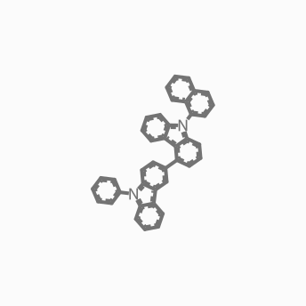 c1ccc(-n2c3ccccc3c3cc(-c4cccc5c4c4ccccc4n5-c4cccc5ccccc45)ccc32)cc1